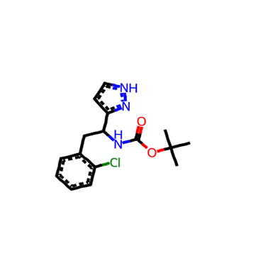 CC(C)(C)OC(=O)NC(Cc1ccccc1Cl)c1cc[nH]n1